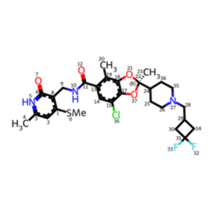 CSc1cc(C)[nH]c(=O)c1CNC(=O)c1cc(Cl)c2c(c1C)O[C@@](C)(C1CCN(CC3CC(F)(F)C3)CC1)O2